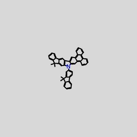 CC1(C)c2ccccc2-c2ccc(-n3c4cc5c(cc4c4cc6c7ccccc7c7ccccc7c6cc43)-c3ccccc3C5(C)C)cc21